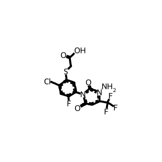 Nn1c(C(F)(F)F)cc(=O)n(-c2cc(SCC(=O)O)c(Cl)cc2F)c1=O